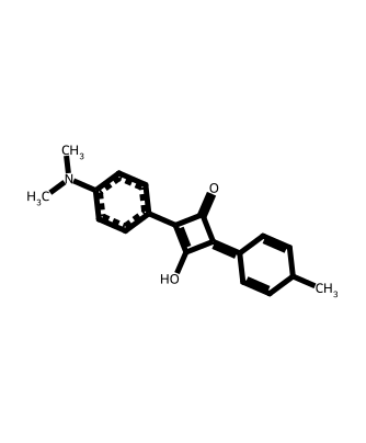 CC1C=CC(=C2C(=O)C(c3ccc(N(C)C)cc3)=C2O)C=C1